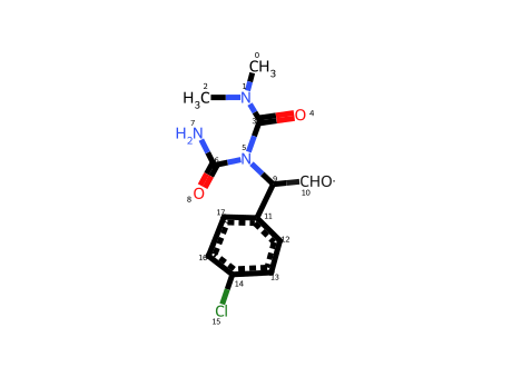 CN(C)C(=O)N(C(N)=O)C([C]=O)c1ccc(Cl)cc1